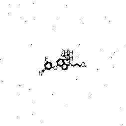 [2H]C([2H])([2H])S(=O)(=O)c1ccc(Oc2cc(F)cc(C#N)c2)c2c1C(NCCCOC)CC2